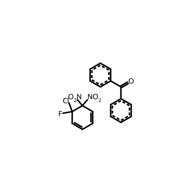 O=C(c1ccccc1)c1ccccc1.O=[N+]([O-])C1([N+](=O)[O-])C=CC=CC1(F)Cl